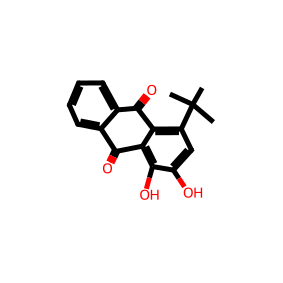 CC(C)(C)c1cc(O)c(O)c2c1C(=O)c1ccccc1C2=O